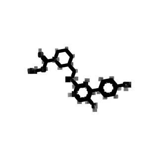 CC(C)(C)OC(=O)N1CCCC(CNc2ncc(Cl)c(-c3ccc(C#N)cc3)n2)C1